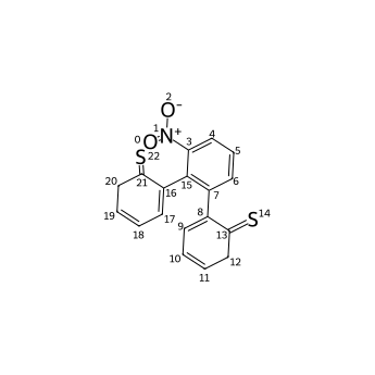 O=[N+]([O-])c1cccc(C2=CC=CCC2=S)c1C1=CC=CCC1=S